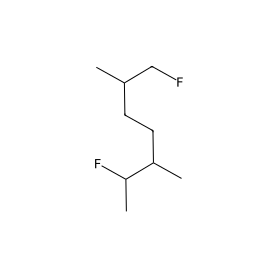 CC(CF)CCC(C)C(C)F